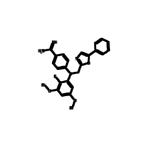 CCOc1cc(OC(C)C)c(F)c(N(Cc2ncc(-c3ccccc3)o2)c2ccc(C(=N)N)cc2)c1